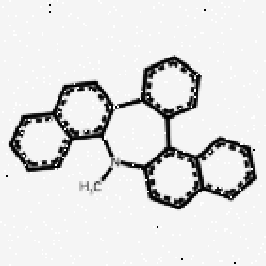 CN1c2ccc3ccccc3c2-c2ccccc2-c2ccc3ccccc3c21